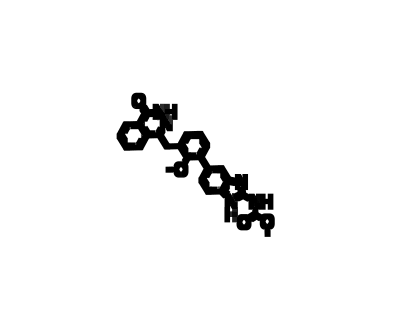 COC(=O)Nc1nc2cc(-c3cccc(Cc4n[nH]c(=O)c5ccccc45)c3OC)ccc2[nH]1